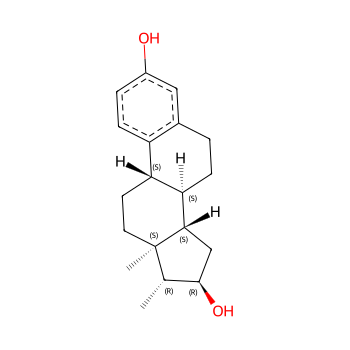 C[C@H]1[C@H](O)C[C@H]2[C@@H]3CCc4cc(O)ccc4[C@H]3CC[C@]12C